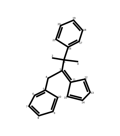 CC(C)(C(Cc1ccccc1)=C1[C]=CC=C1)c1ccccc1